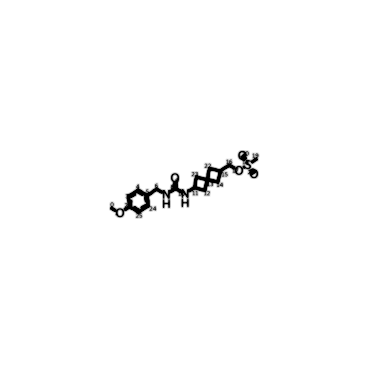 COc1ccc(CNC(=O)NC2CC3(CC(COS(C)(=O)=O)C3)C2)cc1